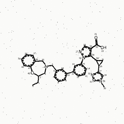 CCC1CN(Cc2cccc(-c3cccc(-n4ncc(C(=O)O)c4C4CC4c4cn(C)nn4)c3)c2)Cc2ccccc2O1